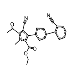 CCOC(=O)c1c(-c2ccc(-c3ccccc3C#N)cc2)c(C#N)c(C(C)=O)n1C